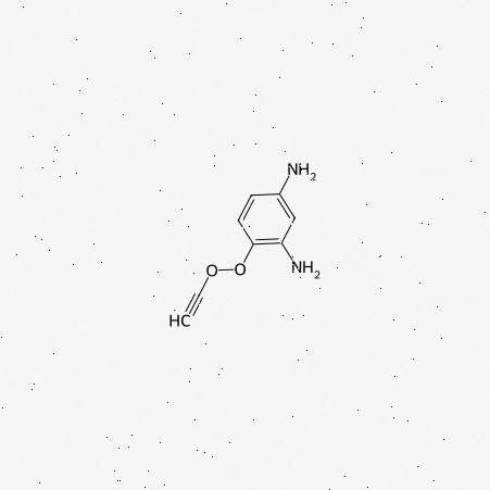 C#COOc1ccc(N)cc1N